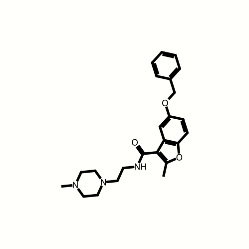 Cc1oc2ccc(OCc3ccccc3)cc2c1C(=O)NCCN1CCN(C)CC1